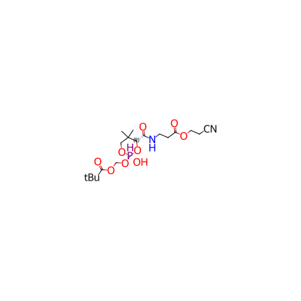 CC(C)(C)C(=O)OCO[PH]1(O)OCC(C)(C)[C@H](C(=O)NCCC(=O)OCCC#N)O1